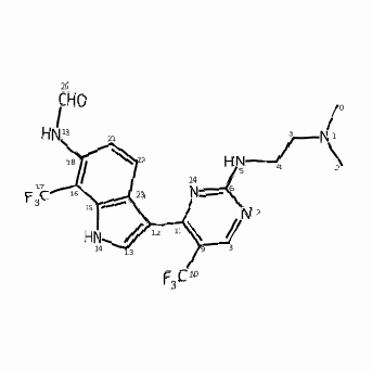 CN(C)CCNc1ncc(C(F)(F)F)c(-c2c[nH]c3c(C(F)(F)F)c(NC=O)ccc23)n1